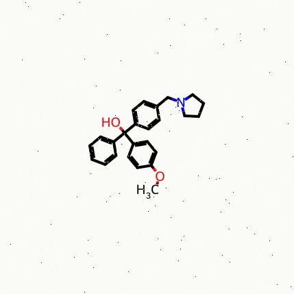 COc1ccc(C(O)(c2ccccc2)c2ccc(CN3CCCC3)cc2)cc1